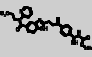 CCCCCCOC(=O)NC(=N)c1ccc(NCCc2nc3cc(C(=O)N(CCC(=O)OCC)c4ccccn4)ccc3[nH]2)cc1